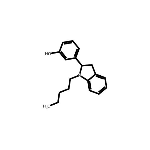 CCCCCN1c2ccccc2CC1c1cccc(O)c1